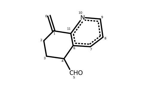 C=C1CCC(C=O)c2cccnc21